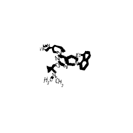 CCc1cccc2cccc(N3CCc4c(nc(OCC5(CN(C)C)CC5)nc4N4CCCC(c5c[nH]nn5)C4)C3)c12